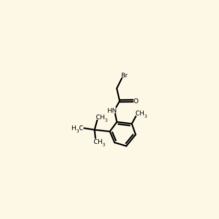 Cc1cccc(C(C)(C)C)c1NC(=O)CBr